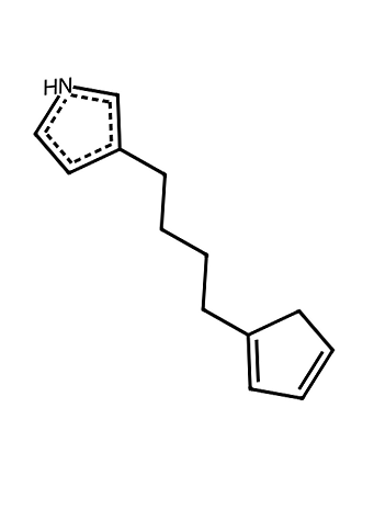 C1=CCC(CCCCc2cc[nH]c2)=C1